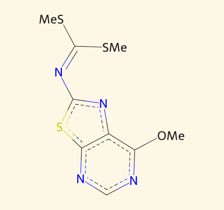 COc1ncnc2sc(N=C(SC)SC)nc12